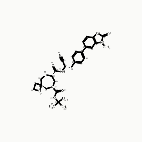 Cn1c(=O)oc2ccc(-c3ccc(C[C@@H](C#N)NC(=O)[C@@H]4CN(C(=O)OC(C)(C)C)C[C@@]5(CCO5)CO4)cc3)cc21